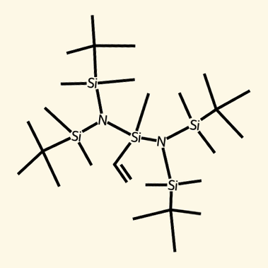 C=C[Si](C)(N([Si](C)(C)C(C)(C)C)[Si](C)(C)C(C)(C)C)N([Si](C)(C)C(C)(C)C)[Si](C)(C)C(C)(C)C